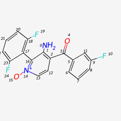 Nc1c(C(=O)c2cccc(F)c2)cc[n+]([O-])c1-c1c(F)cccc1F